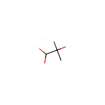 CC(O)(C(=O)O)C(O)O